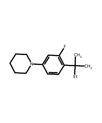 CCC(C)(C)c1ccc(N2CCCCC2)cc1F